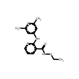 CCONC(=O)c1cccnc1Nc1cc(C)nc(C)c1